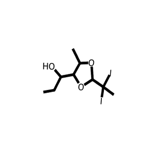 CCC(O)C1OC(C(C)(I)I)OC1C